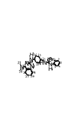 CC(C)c1ccccc1NC(=O)NCC1CCC(Nc2nc3c(c(N(C)C)n2)CCCC3)CC1